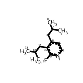 CC(C)Cc1ccnc(F)c1CC(C)C